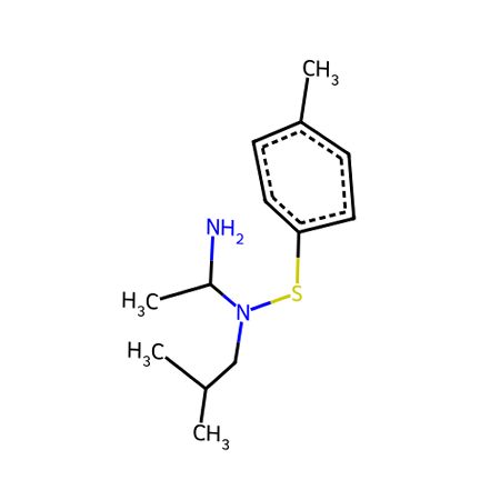 Cc1ccc(SN(CC(C)C)C(C)N)cc1